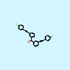 O=C(c1cccc(C#Cc2ccc(F)cc2)c1)c1cccc(C#Cc2ccc(F)cc2)c1